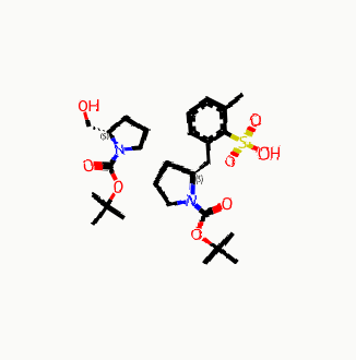 CC(C)(C)OC(=O)N1CCC[C@H]1CO.Cc1cccc(C[C@@H]2CCCN2C(=O)OC(C)(C)C)c1S(=O)(=O)O